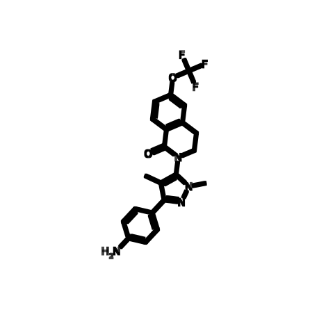 Cc1c(-c2ccc(N)cc2)nn(C)c1N1CCc2cc(OC(F)(F)F)ccc2C1=O